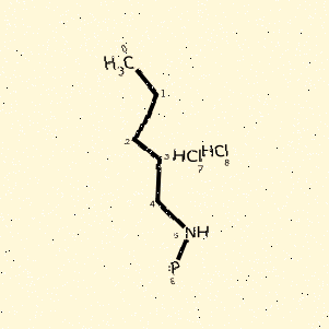 CCCCCN[P].Cl.Cl